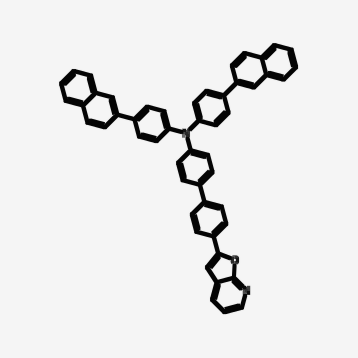 c1ccc2cc(-c3ccc(N(c4ccc(-c5ccc(-c6cc7cccnc7o6)cc5)cc4)c4ccc(-c5ccc6ccccc6c5)cc4)cc3)ccc2c1